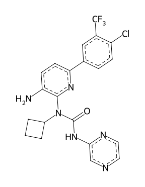 Nc1ccc(-c2ccc(Cl)c(C(F)(F)F)c2)nc1N(C(=O)Nc1cnccn1)C1CCC1